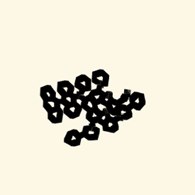 N#Cc1cccc2c1oc1c(N3C=CC=CC3)cc3c(N(c4ccccc4)c4c5ccccc5c(-c5c6ccccc6cc6ccccc56)c5ccccc45)cc4cc(N5C=C(c6ccccc6)C=CC5)c5c6cccc(N7C=CC(c8ccccc8)=CC7)c6oc5c4c3c12